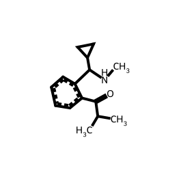 CNC(c1ccccc1C(=O)C(C)C)C1CC1